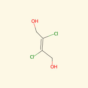 OCC(Cl)=C(Cl)CO